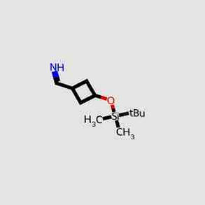 CC(C)(C)[Si](C)(C)OC1CC(C=N)C1